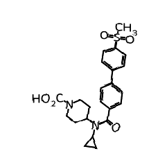 CS(=O)(=O)c1ccc(-c2ccc(C(=O)N(C3CC3)C3CCN(C(=O)O)CC3)cc2)cc1